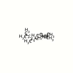 CC(C)=CCCC(C)C/C=C/C(C)=C/C(=O)NCC(C)C